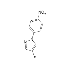 O=[N+]([O-])c1ccc(-n2cc(F)cn2)cc1